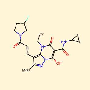 CNc1nn2c(O)c(C(=O)NC3CC3)c(=O)n(CC(C)C)c2c1C=CC(=O)N1CCC(F)C1